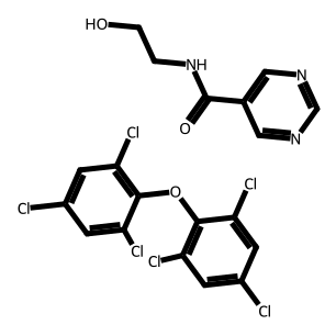 Clc1cc(Cl)c(Oc2c(Cl)cc(Cl)cc2Cl)c(Cl)c1.O=C(NCCO)c1cncnc1